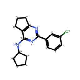 Clc1cccc(-c2nc3c(c(NC4CCCC4)n2)CCC3)c1